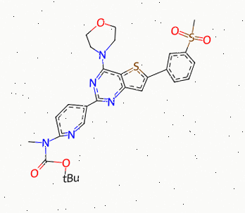 CN(C(=O)OC(C)(C)C)c1ccc(-c2nc(N3CCOCC3)c3sc(-c4cccc(S(C)(=O)=O)c4)cc3n2)cn1